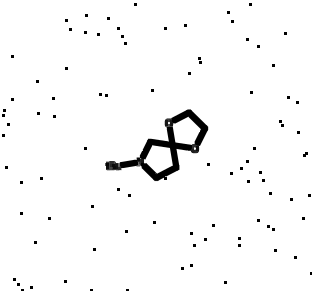 CC(C)(C)N1CCC2(C1)OCCO2